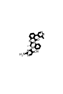 Cc1cc(-c2cccc3nc([C@@H](C)Nc4nc(N)ncc4C#N)n(-c4ccccc4)c(=O)c23)cnn1